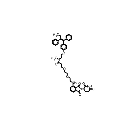 CCC(=C(c1ccccc1)c1ccc(OCCN(C)C(=O)CCOCCOCCNc2cccc3c2C(=O)N(C2CCC(=O)NC2=O)C3=O)cc1)c1ccccc1